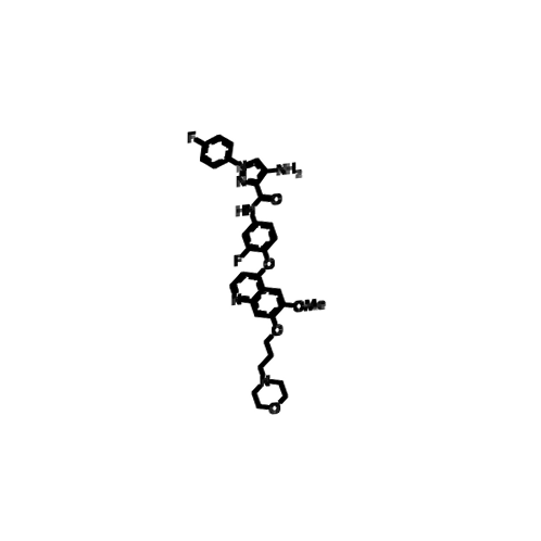 COc1cc2c(Oc3ccc(NC(=O)c4nn(-c5ccc(F)cc5)cc4N)cc3F)ccnc2cc1OCCCN1CCOCC1